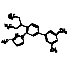 CCC(CC)c1ccc(-c2cc(C)cc(C)c2)cc1-n1ccc(C)n1